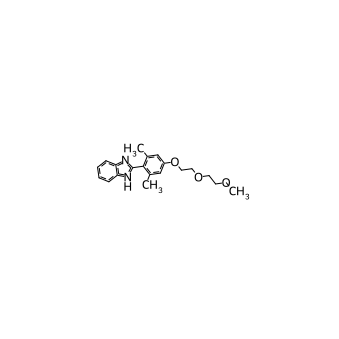 COCCOCCOc1cc(C)c(-c2nc3ccccc3[nH]2)c(C)c1